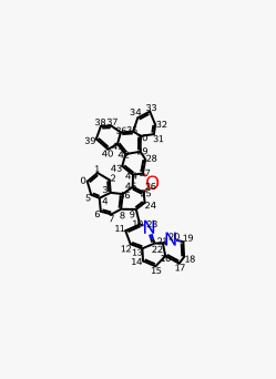 c1ccc2c(c1)ccc1c(-c3ccc4ccc5cccnc5c4n3)cc3oc4cc5c6ccccc6c6ccccc6c5cc4c3c12